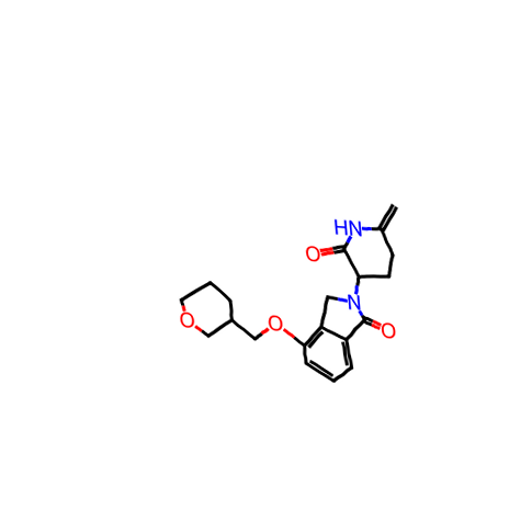 C=C1CCC(N2Cc3c(OCC4CCCOC4)cccc3C2=O)C(=O)N1